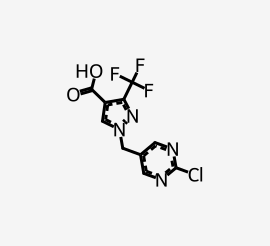 O=C(O)c1cn(Cc2cnc(Cl)nc2)nc1C(F)(F)F